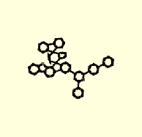 c1ccc(-c2ccc(-c3cc(-c4ccc5c(c4)-c4ccc6c(oc7ccccc76)c4C54c5ccccc5C5(c6ccccc6-c6ccccc65)c5ccccc54)cc(-c4ccccc4)n3)cc2)cc1